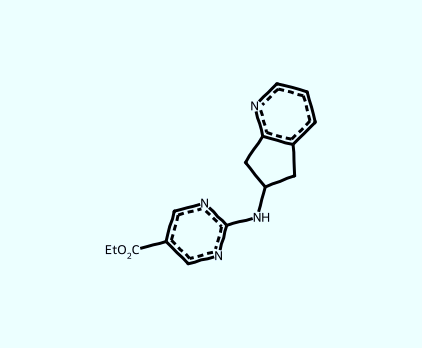 CCOC(=O)c1cnc(NC2Cc3cccnc3C2)nc1